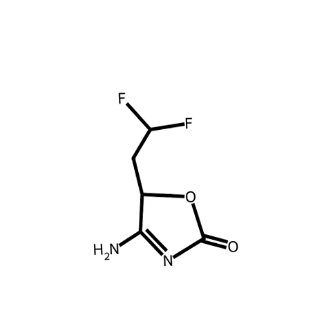 NC1=NC(=O)OC1CC(F)F